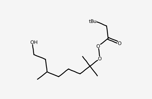 CC(CCO)CCCC(C)(C)OOC(=O)CC(C)(C)C